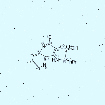 CCC[C@H](CO)Nc1c(C(=O)O)c(Cl)nc2cccnc12